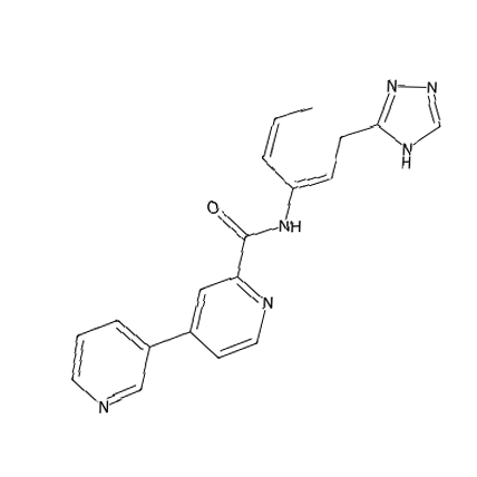 C/C=C\C(=C/Cc1nnc[nH]1)NC(=O)c1cc(-c2cccnc2)ccn1